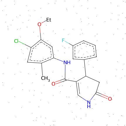 CCOc1cc(NC(=O)C2=CNC(=O)CC2c2cccc(F)c2)c(C)cc1Cl